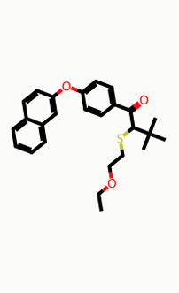 CCOCCSC(C(=O)c1ccc(Oc2ccc3ccccc3c2)cc1)C(C)(C)C